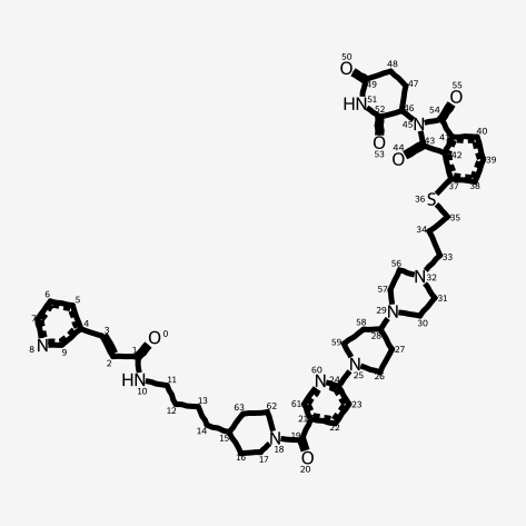 O=C(/C=C/c1cccnc1)NCCCCC1CCN(C(=O)c2ccc(N3CCC(N4CCN(CCCSc5cccc6c5C(=O)N(C5CCC(=O)NC5=O)C6=O)CC4)CC3)nc2)CC1